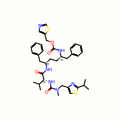 CC(C)c1nc(CN(C)C(=O)N[C@@H](C(=O)N[C@H](CC[C@H](Cc2ccccc2)NC(=O)OCc2cncs2)Cc2ccccc2)C(C)C)cs1